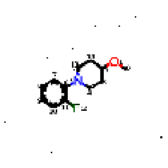 COC1C[CH]N(c2ccccc2F)CC1